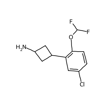 NC1CC(c2cc(Cl)ccc2OC(F)F)C1